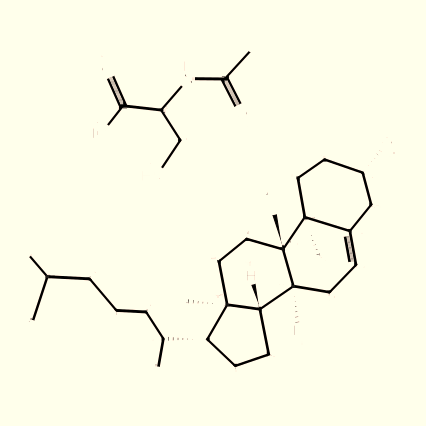 CC(=O)NC(CS)C(=O)O.CC(C)CCCC(C)[C@H]1CC[C@H]2[C@@H]3CC=C4C[C@@H](O)CC[C@]4(C)[C@H]3CC[C@]12C